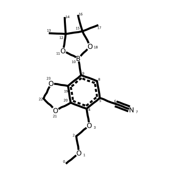 COCOc1c(C#N)cc(B2OC(C)(C)C(C)(C)O2)c2c1OCO2